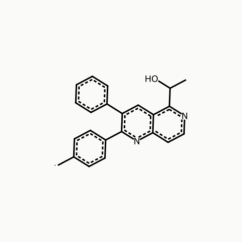 [CH2]c1ccc(-c2nc3ccnc(C(C)O)c3cc2-c2ccccc2)cc1